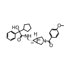 COc1ccc(C(=O)N2CC3[C@H](CNC(=O)C(O)(c4ccccc4)C4CCCC4)[C@H]3C2)cc1